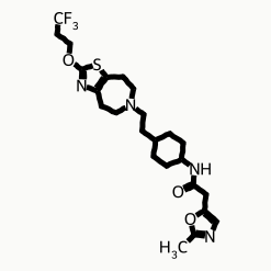 Cc1ncc(CC(=O)NC2CCC(CCN3CCc4nc(OCCC(F)(F)F)sc4CC3)CC2)o1